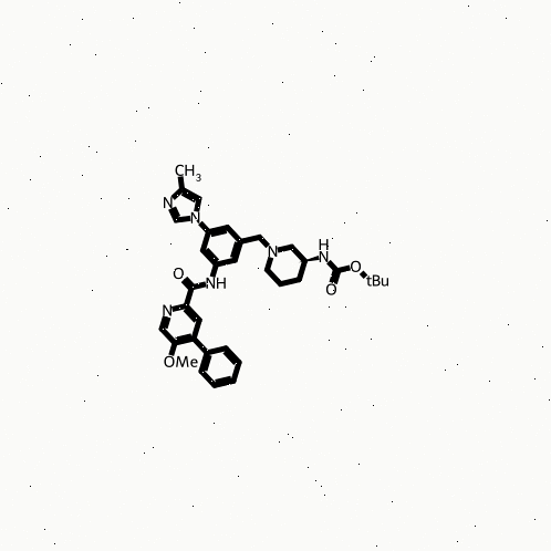 COc1cnc(C(=O)Nc2cc(CN3CCC[C@H](NC(=O)OC(C)(C)C)C3)cc(-n3cnc(C)c3)c2)cc1-c1ccccc1